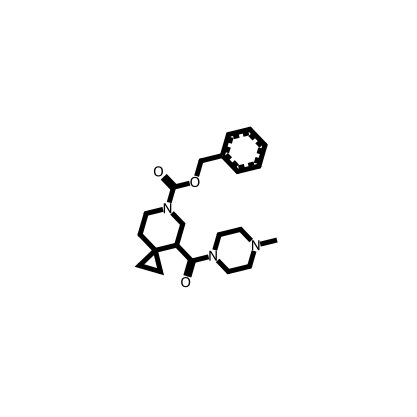 CN1CCN(C(=O)C2CN(C(=O)OCc3ccccc3)CCC23CC3)CC1